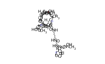 C=CC(O)N1CCN(c2nc(NCCC(=O)NCCCCCCNC(=O)CCC[C@@H]3/C=C(\C)C[C@H](C)C[C@H](C)[C@H]4O[C@@](O)(C(=O)C(=O)N5CCCC[C@H]5C(=O)O[C@H](/C(C)=C/[C@@H]5CC[C@@H](O)[C@H](OC)C5)[C@H](C)[C@@H](O)CC3=O)[C@H](C)C[C@@H]4O)nc3c4c(c(Cl)cc23)-c2c(F)cccc2OC/C=C/4)CC1